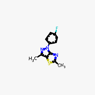 Cc1nc2c(s1)c(C)nn2-c1ccc(F)cc1